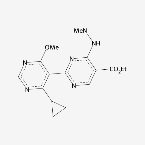 CCOC(=O)c1cnc(-c2c(OC)ncnc2C2CC2)nc1NNC